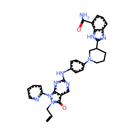 C=CCn1c(=O)c2cnc(Nc3ccc(N4CCCC(c5nc6cccc(C(N)=O)c6[nH]5)C4)cc3)nc2n1-c1ccccn1